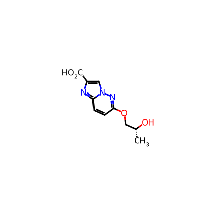 C[C@@H](O)COc1ccc2nc(C(=O)O)cn2n1